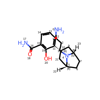 NCCCN1[C@@H]2CC[C@H]1C[C@@H](c1cccc(C(N)=O)c1O)C2